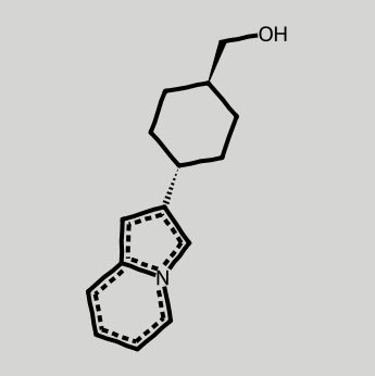 OC[C@H]1CC[C@H](c2cc3ccccn3c2)CC1